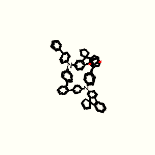 c1ccc(-c2ccc(N(c3ccc(-c4ccccc4-c4ccc(N(c5ccc(-c6ccccc6)cc5)c5ccc6c(c5)C5(CCCC5)c5ccccc5-6)cc4)cc3)c3ccc4c(c3)C3(CCCC3)c3ccccc3-4)cc2)cc1